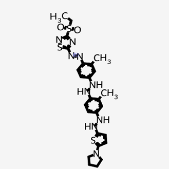 CCS(=O)(=O)c1nsc(/N=N/c2ccc(NNc3ccc(NNc4ccc(N5CCCC5)s4)cc3C)cc2C)n1